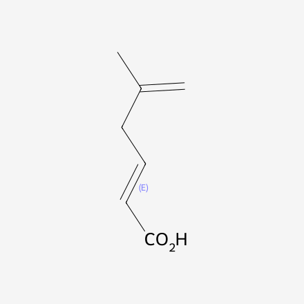 C=C(C)C/C=C/C(=O)O